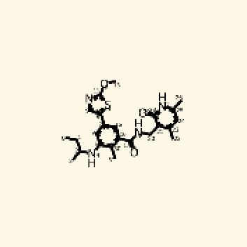 CCC(C)Nc1cc(-c2cnc(OC)s2)cc(C(=O)NCc2c(C)cc(C)[nH]c2=O)c1C